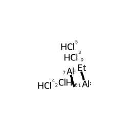 C[CH2][Al].Cl.Cl.Cl.Cl.[CH3][Al]